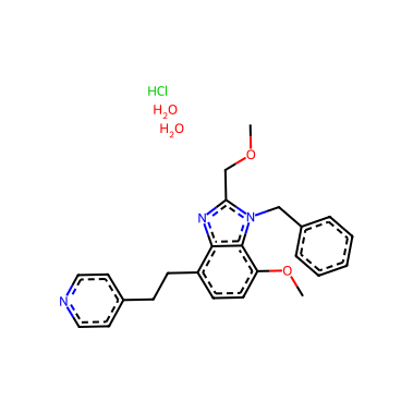 COCc1nc2c(CCc3ccncc3)ccc(OC)c2n1Cc1ccccc1.Cl.O.O